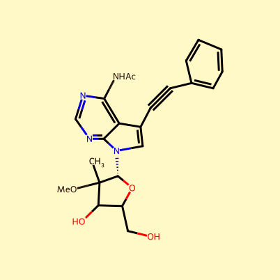 COC1(C)C(O)C(CO)O[C@H]1n1cc(C#Cc2ccccc2)c2c(NC(C)=O)ncnc21